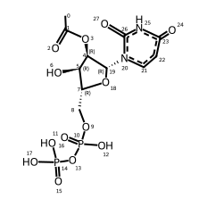 CC(=O)O[C@@H]1[C@H](O)[C@@H](COP(=O)(O)OP(=O)(O)O)O[C@H]1n1ccc(=O)[nH]c1=O